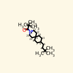 CC(C)(C)CCC1CCC2(CC1)CCN(C(=O)C(C)(C)C)CC2